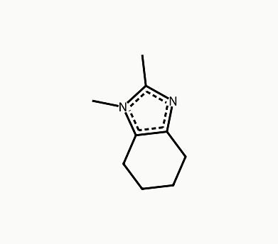 Cc1nc2c(n1C)CCCC2